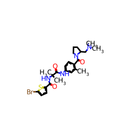 Cc1cc(NC(=O)C(C)(C)NC(=O)c2ccc(Br)s2)ccc1C(=O)N1CCCC1CN(C)C